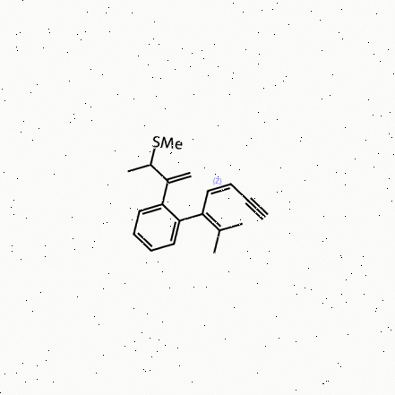 C#C/C=C\C(=C(C)C)c1ccccc1C(=C)C(C)SC